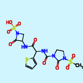 CS(=O)(=O)N1CCN(C(=O)NC(C(=O)NC2CN(S(=O)(=O)O)C2=O)c2cccs2)C1=O